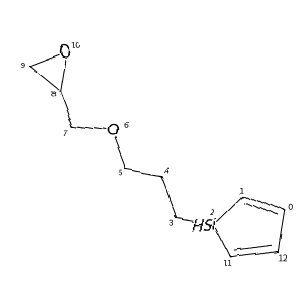 C1=C[SiH](CCCOCC2CO2)C=C1